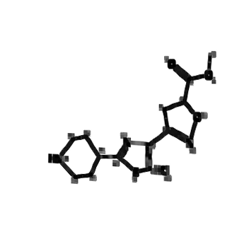 COC(=O)C1CC(c2csc(C3CCNCC3)n2)=NO1.Cl